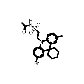 CC(=O)NS(=O)(=O)CCN1c2ccc(C)cc2C2(CCCCC2)c2cc(Br)ccc21